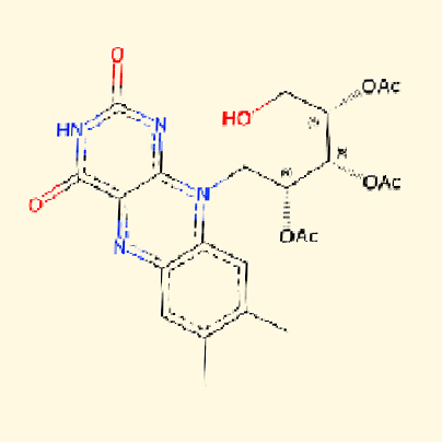 CC(=O)O[C@@H]([C@H](CO)OC(C)=O)[C@@H](Cn1c2nc(=O)[nH]c(=O)c-2nc2cc(C)c(C)cc21)OC(C)=O